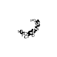 C=C(/N=C\C(C)=C\n1c(C)cc(OCc2ncc(F)cc2F)c(Cl)c1=O)c1ccnc([C@@](C)(O)C2CC2)n1